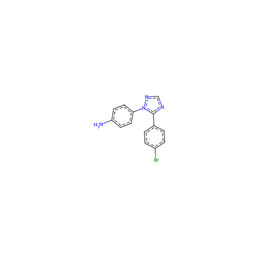 Nc1ccc(-n2ncnc2-c2ccc(Br)cc2)cc1